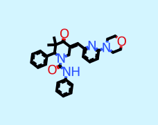 CC1(C)C(=O)C(=Cc2cccc(N3CCOCC3)n2)CN(C(=O)Nc2ccccc2)C1c1ccccc1